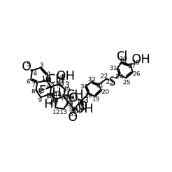 C[C@]12C=CC(=O)C=C1CC[C@H]1[C@@H]3CC[C@@](OC(=O)c4ccc(CSc5ccc(O)c(Cl)c5)cc4)(C(=O)O)[C@@]3(C)C[C@H](O)C12F